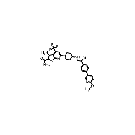 COc1ncc(-c2ccc(C(O)CNC3CCN(c4cc(C(F)(F)F)c5c(n4)SC(C(N)=O)C5N)CC3)nc2)cn1